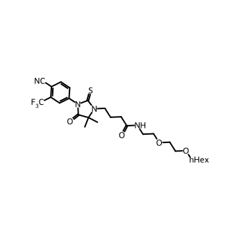 CCCCCCOCCOCCNC(=O)CCCN1C(=S)N(c2ccc(C#N)c(C(F)(F)F)c2)C(=O)C1(C)C